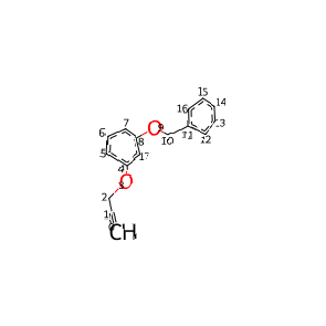 C#CCOc1cccc(OCc2ccccc2)c1